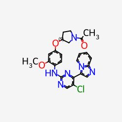 COc1cc(O[C@H]2CCN(C(C)=O)C2)ccc1Nc1ncc(Cl)c(-c2cnc3ccccn23)n1